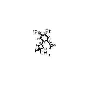 CCc1cc(C2CC2)c(C2CC(C)(F)C2)cc1C(C)C